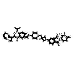 CC(C)Oc1cc2nn(C3CCN(CC4(F)CN(c5ccc6c(c5)C(=O)N([C@H]5CCC(=O)NC5=O)C6=O)C4)CC3)cc2cc1NC(=O)c1cnn2cccnc12